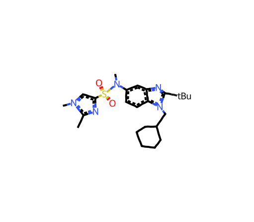 Cc1nc(S(=O)(=O)N(C)c2ccc3c(c2)nc(C(C)(C)C)n3CC2CCCCC2)cn1C